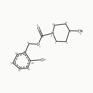 N#CC1CCN(C(=O)OCc2ccccc2Cl)CC1